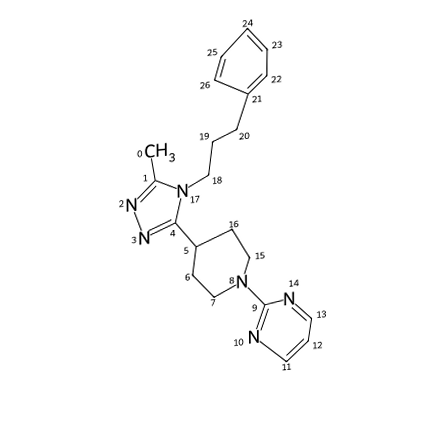 Cc1nnc(C2CCN(c3ncccn3)CC2)n1CCCc1ccccc1